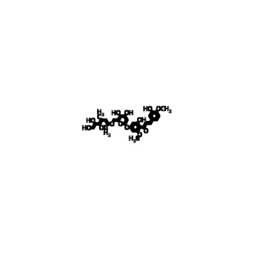 COc1ccc(C=CC(=O)c2c(O)cc(O[C@H]3CC(O)[C@H](O)C(COC(C)CC(C)[C@H](O)C(O)CO)O3)cc2OC)cc1O